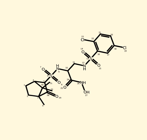 CC12CCC(C(S(=O)(=O)NC(CNS(=O)(=O)c3cc(Cl)ccc3Cl)C(=O)NO)C1=O)C2(C)C